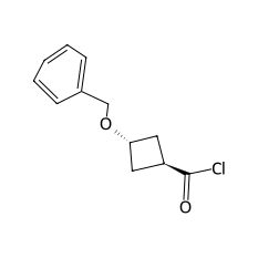 O=C(Cl)[C@H]1C[C@H](OCc2ccccc2)C1